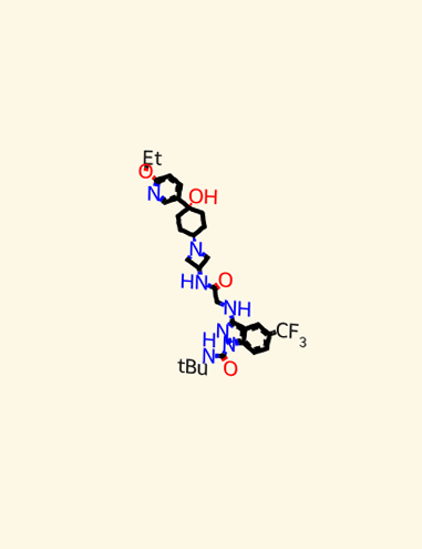 CCOc1ccc([C@]2(O)CC[C@H](N3CC(NC(=O)CNc4nn(C(=O)NC(C)(C)C)c5ccc(C(F)(F)F)cc45)C3)CC2)cn1